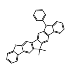 CC1(C)c2cc3c(cc2-c2cc4c(cc21)c1ccccc1n4-c1ccccc1)sc1ccccc13